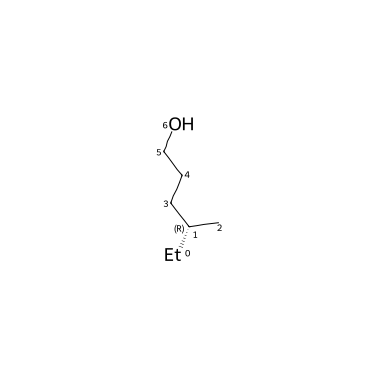 CC[C@@H](C)CCCO